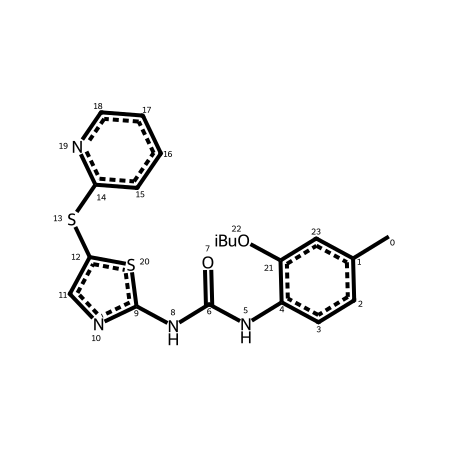 Cc1ccc(NC(=O)Nc2ncc(Sc3ccccn3)s2)c(OCC(C)C)c1